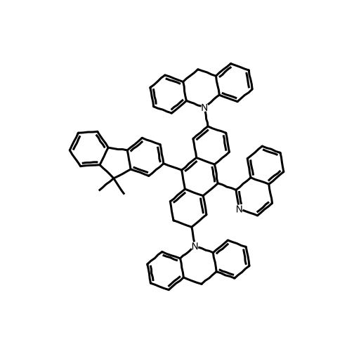 CC1(C)c2ccccc2-c2ccc(-c3c4c(c(-c5nccc6ccccc56)c5ccc(N6c7ccccc7Cc7ccccc76)cc35)=CC(N3c5ccccc5Cc5ccccc53)CC=4)cc21